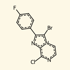 Fc1ccc(-c2nc3c(Cl)nccn3c2Br)cc1